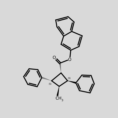 C[C@H]1[C@H](c2ccccc2)[C@H](C(=O)Oc2ccc3ccccc3c2)[C@H]1c1ccccc1